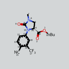 CCCCOC(=O)[C@H]1CN(C)C(=O)N1c1ccc(C#N)c(C(F)(F)F)c1